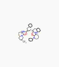 O=C(N[C@H]1CCCCN(c2ccccc2)C1=O)[C@H](CC[C@H](Cc1ccccc1)C(=O)N[C@H]1CCSC2CC[C@@H](C(F)(F)F)CN2C1=O)Cc1ccccc1